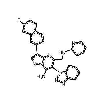 Nc1c(-n2nnc3ccccc32)c(CNc2ccccn2)nc2c(-c3cnc4ccc(F)cc4c3)cnn12